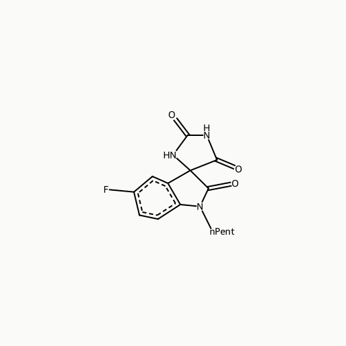 CCCCCN1C(=O)C2(NC(=O)NC2=O)c2cc(F)ccc21